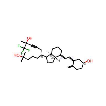 C=C1CC[C@H](O)C/C1=C/C=C1\CCC[C@]2(C)C([C@@H](CC#CC(C)(O)C(F)(F)F)CCCC(C)(C)O)CC[C@@H]12